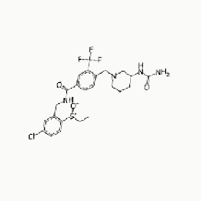 CC[S+]([O-])c1ccc(Cl)cc1CNC(=O)c1ccc(CN2CCCC(NC(N)=O)C2)c(C(F)(F)F)c1